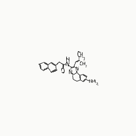 CC(C)=Cc1nc2c(nc1NC(=O)Cc1ccc3ccccc3c1)CCc1cc(N)ccc1-2